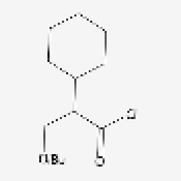 CC(C)COCC(C(=O)Cl)C1CCCCC1